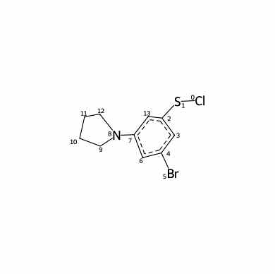 ClSc1cc(Br)cc(N2CCCC2)c1